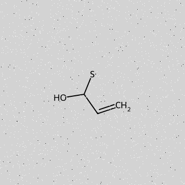 C=CC(O)[S]